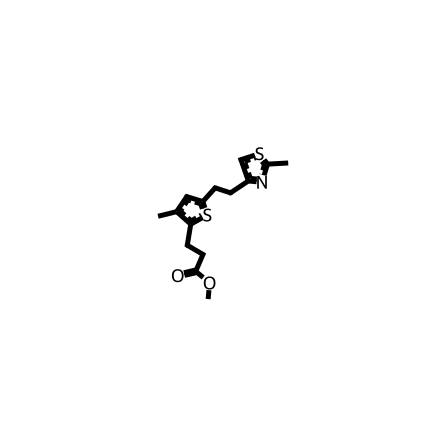 COC(=O)CCc1sc(CCc2csc(C)n2)cc1C